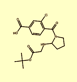 CC(C)(C)OC(=O)CNC1CCCN1C(=O)c1ccc(C(=O)O)cc1Cl